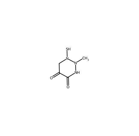 CN1NC(=O)C(=O)CN1S